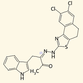 CC(=O)/C(Cc1c[nH]c2ccccc12)=N\Nc1nc2c(s1)CCc1cc(Cl)c(Cl)cc1-2